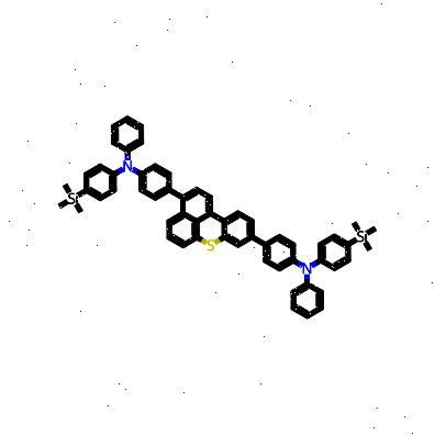 C[Si](C)(C)c1ccc(N(c2ccccc2)c2ccc(-c3ccc4c(c3)Sc3cccc5c(-c6ccc(N(c7ccccc7)c7ccc([Si](C)(C)C)cc7)cc6)ccc-4c35)cc2)cc1